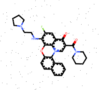 O=C(c1cn2c3c(c(NCCN4CCCC4)c(F)cc3c1=O)Oc1ccc3ccccc3c1-2)N1CCCCC1